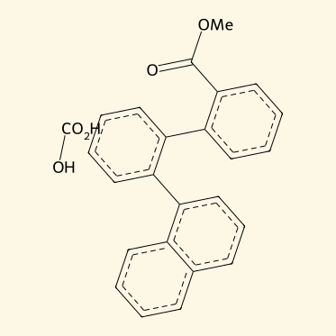 COC(=O)c1ccccc1-c1ccccc1-c1cccc2ccccc12.O=C(O)O